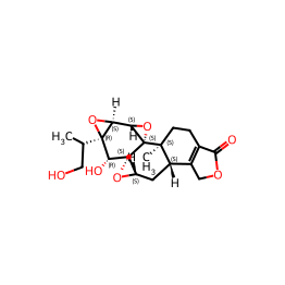 CC(CO)[C@]12O[C@H]1[C@@H]1O[C@]13[C@]1(O[C@H]1C[C@H]1C4=C(CC[C@@]13C)C(=O)OC4)[C@@H]2O